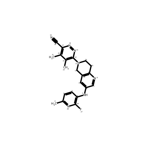 Cc1ccc(Nc2cnc3c(c2)CN(c2nnc(C#N)c(C)c2C)CC3)c(F)n1